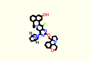 C#Cc1cccc2cc(O)cc(-c3ncc4c(N5C[C@H]6CC[C@@H](C5)N6)nc(OCC56CCCN5C5CCOc7cccc6c75)nc4c3F)c12